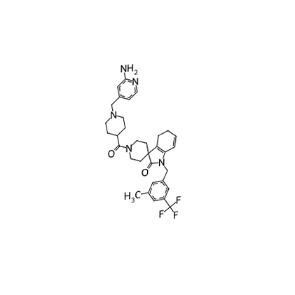 Cc1cc(CN2C(=O)C3(CCN(C(=O)C4CCN(Cc5ccnc(N)c5)CC4)CC3)C3=C2C=CCC3)cc(C(F)(F)F)c1